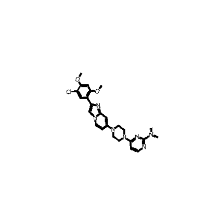 COc1cc(OC)c(-c2cn3ccc(N4CCN(c5ccnc(N(C)C)n5)CC4)cc3n2)cc1Cl